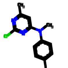 COc1ccc(N(C)c2cc(C)nc(Cl)n2)cc1